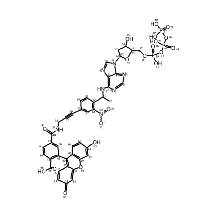 CC(Nc1ncnc2c1ncn2[C@H]1CC(O)[C@@H](COP(=O)(O)OP(=O)(O)OP(=O)(O)O)O1)c1ccc(C#CCNC(=O)c2ccc(C(=O)O)c(-c3c4ccc(=O)cc-4oc4cc(O)ccc34)c2)cc1[N+](=O)[O-]